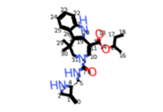 C=C1CN[C@@H]1CNC(=O)N1C=C(C(=O)OC(C)CC)c2[nH]c3ccccc3c2C(C)(C)C1